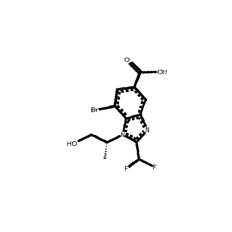 C[C@H](CO)n1c(C(F)F)nc2cc(C(=O)O)cc(Br)c21